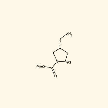 COC(=O)N1CC[C@@H](CN)C1.Cl